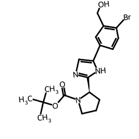 CC(C)(C)OC(=O)N1CCC[C@@H]1c1ncc(-c2ccc(Br)c(CO)c2)[nH]1